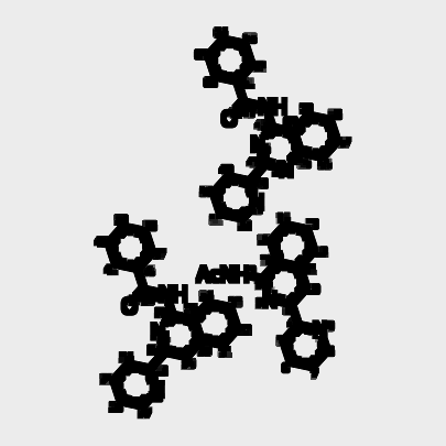 CC(=O)Nc1nc(-c2ccccn2)cc2ccccc12.O=C(Nc1nc(-c2ccccn2)cc2ccccc12)c1ccccc1.O=C(Nc1nc(-c2ccccn2)nc2ccccc12)c1ccccc1